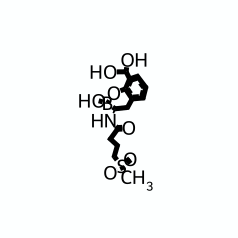 CS(=O)(=O)CCCC(=O)N[C@H]1Cc2cccc(C(O)O)c2OB1O